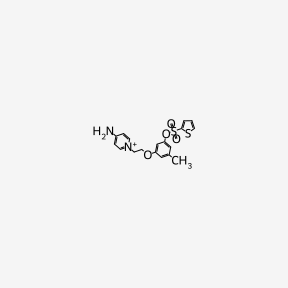 Cc1cc(OCC[n+]2ccc(N)cc2)cc(OS(=O)(=O)c2cccs2)c1